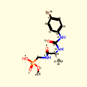 CCOP(=O)(O)CNC(=O)[C@@H](NC(=O)Nc1ccc(Br)cc1)[C@@H](C)CC